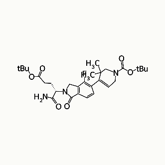 CC(C)(C)OC(=O)CC[C@@H](C(N)=O)N1Cc2c(ccc(C3=CCN(C(=O)OC(C)(C)C)CC3(C)C)c2F)C1=O